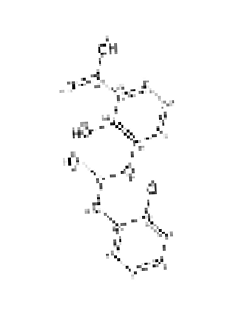 CC(Oc1ccccc1Cl)Oc1cccc(C(=O)O)c1O